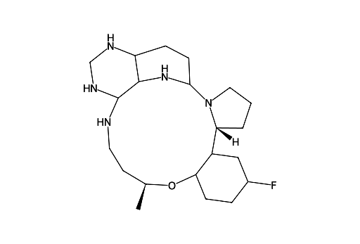 C[C@H]1CCNC2NCNC3CCC(NC32)N2CCC[C@@H]2C2CC(F)CCC2O1